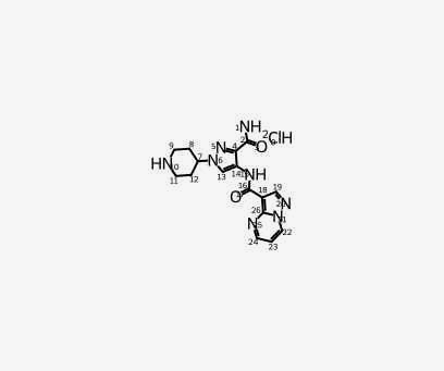 Cl.NC(=O)c1nn(C2CCNCC2)cc1NC(=O)c1cnn2cccnc12